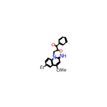 CCc1ccc2c(c1)c(OC)cc(=N)n2CC(=O)C(=O)c1ccccc1